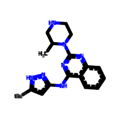 CC1CNCCN1c1nc(Nc2cc(C(C)(C)C)[nH]n2)c2ccccc2n1